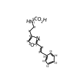 O=C(O)NCCc1coc(C=Cc2ccccc2)n1